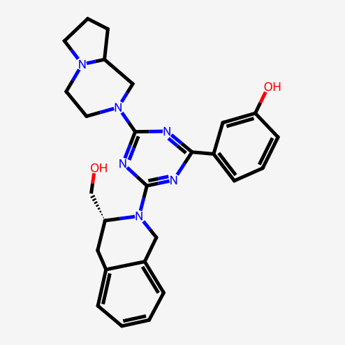 OC[C@H]1Cc2ccccc2CN1c1nc(-c2cccc(O)c2)nc(N2CCN3CCCC3C2)n1